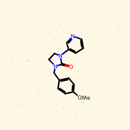 COc1ccc(CN2CCN(c3cccnc3)C2=O)cc1